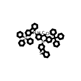 CC1(C)c2cc(-n3c4ccccc4c4ccc([Si](c5ccccc5)(c5ccccc5)c5ccccc5)cc43)ccc2N(c2ccc3sc4ccccc4c3c2)c2ccc(C(c3ccccc3)(c3ccccc3)c3ccccc3)cc21